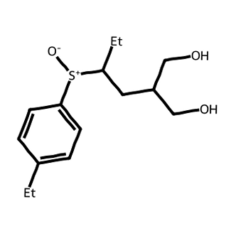 CCc1ccc([S+]([O-])C(CC)CC(CO)CO)cc1